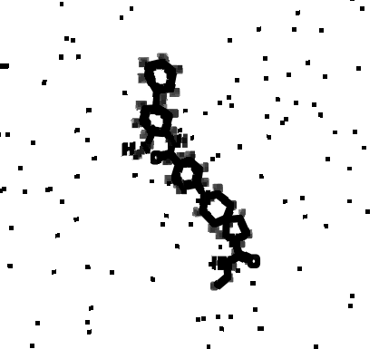 CCNC(=O)N1CCC2(CCN(c3ccc(C(=O)Nc4cc(-c5ccccc5)ccc4N)cn3)CC2)C1